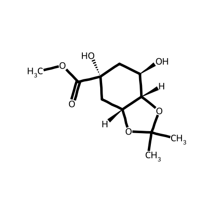 COC(=O)[C@@]1(O)C[C@@H](O)[C@@H]2OC(C)(C)O[C@@H]2C1